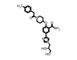 Cc1ccc(CC(=O)N2CCC(Oc3ccc(-c4cn(C[C@H](O)CO)cn4)cc3C(N)=O)CC2)cc1